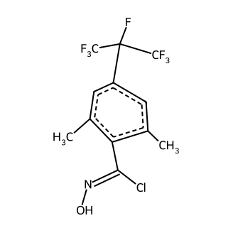 Cc1cc(C(F)(C(F)(F)F)C(F)(F)F)cc(C)c1C(Cl)=NO